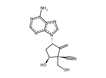 C=C1[C@@H](n2cnc3c(N)ncnc32)C[C@H](O)[C@@]1(C#N)CO